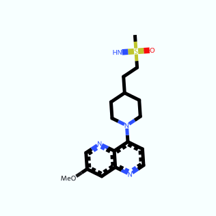 COc1cnc2c(N3CCC(CCS(C)(=N)=O)CC3)ccnc2c1